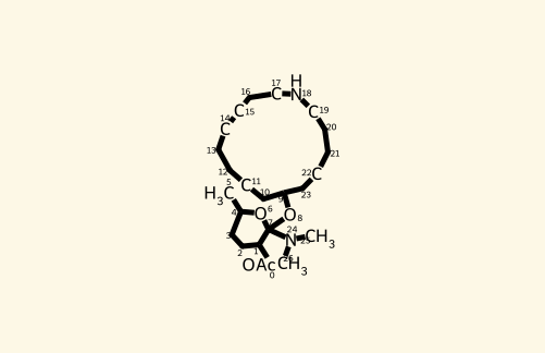 CC(=O)OC1CCC(C)OC1(OC1CCCCCCCCNCCCCC1)N(C)C